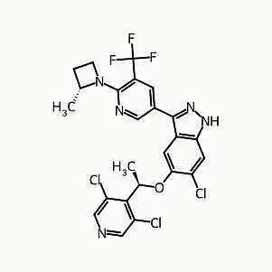 C[C@@H]1CCN1c1ncc(-c2n[nH]c3cc(Cl)c(O[C@H](C)c4c(Cl)cncc4Cl)cc23)cc1C(F)(F)F